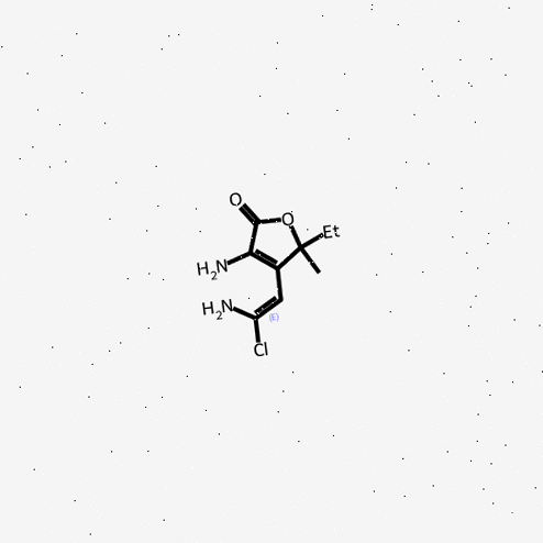 CCC1(C)OC(=O)C(N)=C1/C=C(\N)Cl